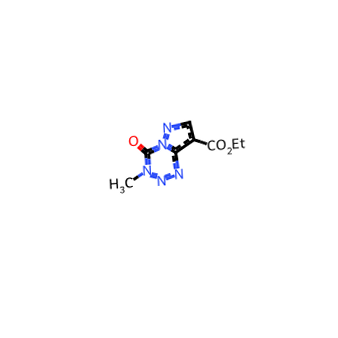 CCOC(=O)c1cnn2c(=O)n(C)nnc12